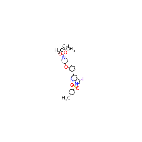 Cc1ccc(S(=O)(=O)n2cc(I)c3cc(-c4cccc(OC5CCN(C(=O)OC(C)(C)C)CC5)c4)cnc32)cc1